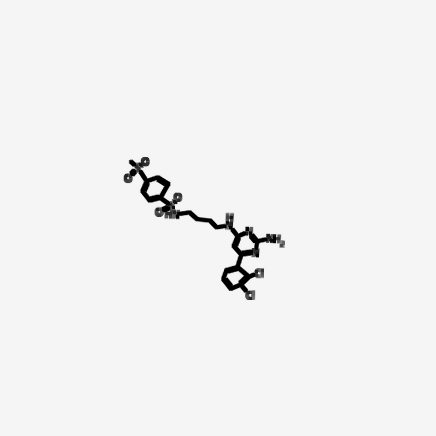 CS(=O)(=O)c1ccc(S(=O)(=O)NCCCCNc2cc(-c3cccc(Cl)c3Cl)nc(N)n2)cc1